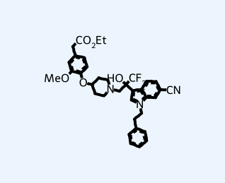 CCOC(=O)Cc1ccc(OC2CCN(CC(O)(c3cn(CCc4ccccc4)c4cc(C#N)ccc34)C(F)(F)F)CC2)c(OC)c1